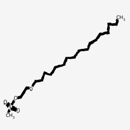 CCCCCCCCCCCCCCCCCOCCOS(C)(=O)=O